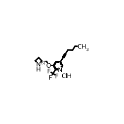 CCCCC#Cc1cnc(C(F)(F)F)c(OC[C@@H]2CCN2)c1.Cl